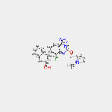 CN1CCC[C@H]1COc1nc(N)c2ccc(-c3cc(O)cc4ccccc34)c(F)c2n1